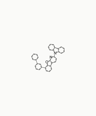 c1ccc(-c2cccc(-c3cccc4c3oc3nc(-n5c6ccccc6c6ccccc65)ccc34)c2)cc1